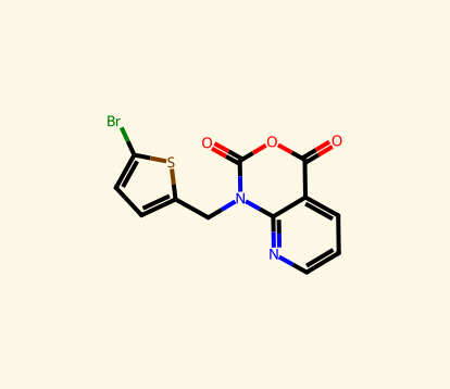 O=c1oc(=O)n(Cc2ccc(Br)s2)c2ncccc12